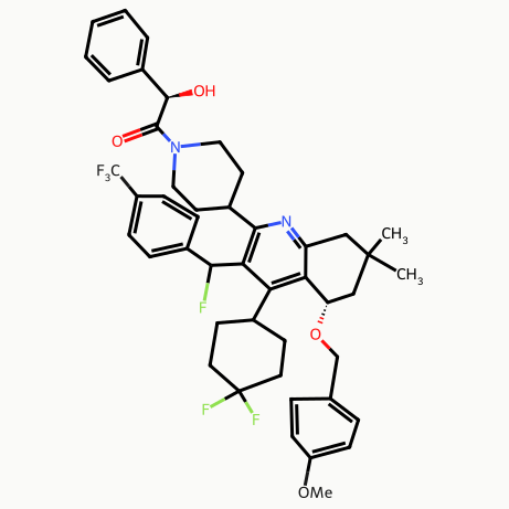 COc1ccc(CO[C@H]2CC(C)(C)Cc3nc(C4CCN(C(=O)[C@H](O)c5ccccc5)CC4)c(C(F)c4ccc(C(F)(F)F)cc4)c(C4CCC(F)(F)CC4)c32)cc1